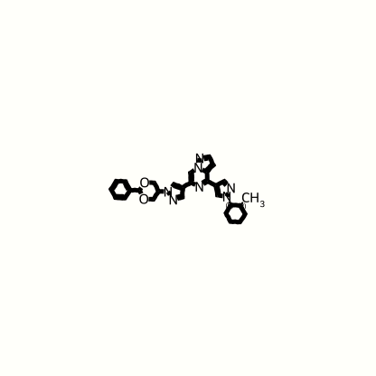 C[C@@H]1CCCC[C@H]1n1cc(-c2nc(-c3cnn(C4COC(c5ccccc5)OC4)c3)cn3nccc23)cn1